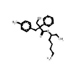 CCCCCC(CC)OC(=O)C(CO)(Cc1ccc(C)cc1)c1ccccc1